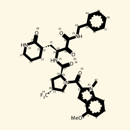 COc1cccc2c1cc(C(=O)N1C[C@H](C(F)(F)F)C[C@H]1C(=O)N[C@@H](C[C@@H]1CCCNC1=O)C(=O)C(=O)NCc1ccccc1)n2C